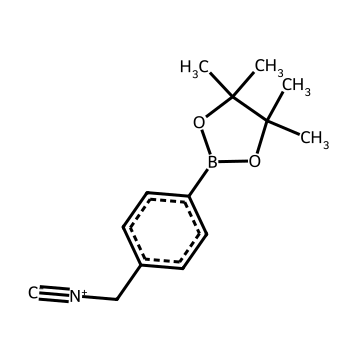 [C-]#[N+]Cc1ccc(B2OC(C)(C)C(C)(C)O2)cc1